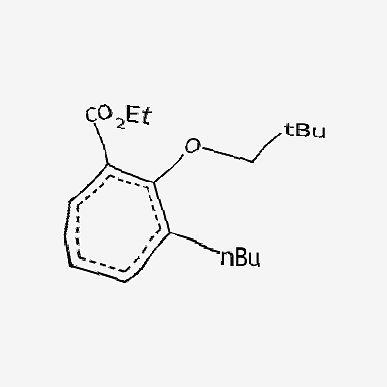 CCCCc1cccc(C(=O)OCC)c1OCC(C)(C)C